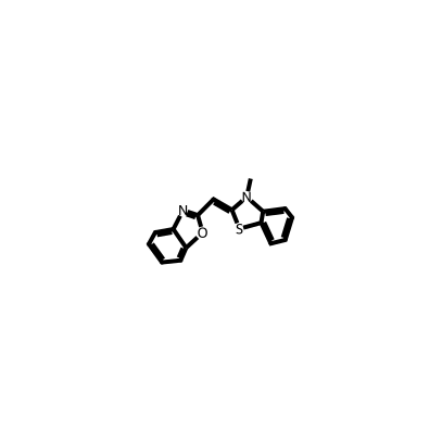 CN1/C(=C/c2nc3ccccc3o2)Sc2ccccc21